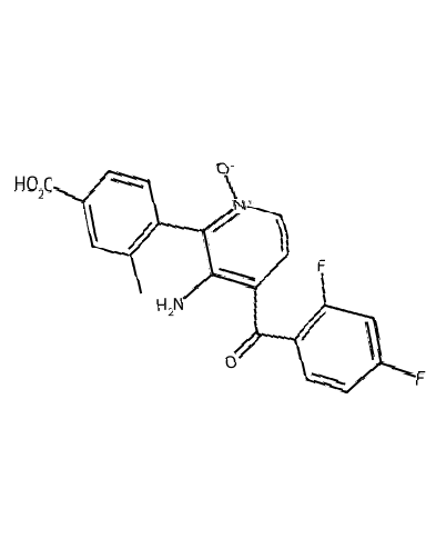 Cc1cc(C(=O)O)ccc1-c1c(N)c(C(=O)c2ccc(F)cc2F)cc[n+]1[O-]